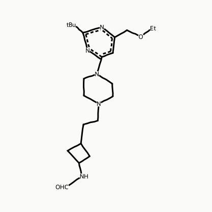 CCOCc1cc(N2CCN(CCC3CC(NC=O)C3)CC2)nc(C(C)(C)C)n1